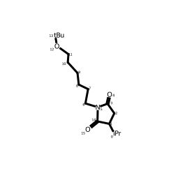 CC(C)C1CC(=O)N(CCCCCCOC(C)(C)C)C1=O